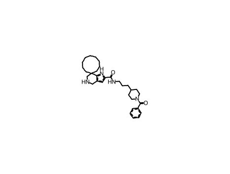 O=C(NCCCC1CCN(C(=O)c2ccccc2)CC1)c1cc2c([nH]1)C1(CCCCCCCCC1)CNC2